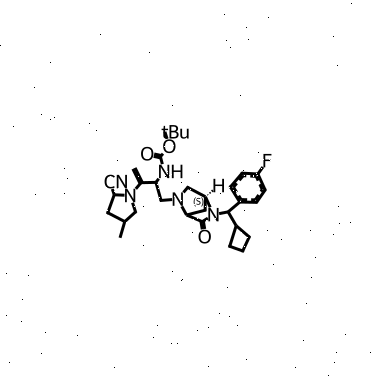 C=C(C(CN1C[C@@H]2CC1C(=O)N2C(c1ccc(F)cc1)C1CCC1)NC(=O)OC(C)(C)C)N1CC(C)CC1C#N